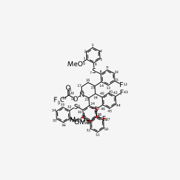 COc1ccccc1Sc1ccc(F)cc1C1CCN(OC(=O)C(F)(F)F)C(c2cc(F)ccc2Sc2ccccc2OC)C1c1cc(F)ccc1Sc1ccccc1OC